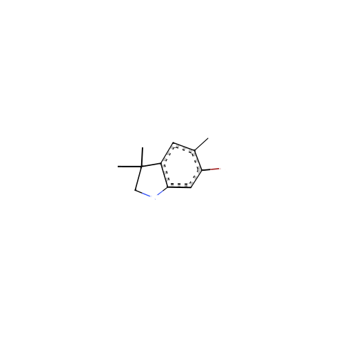 Cc1cc2c(cc1Br)NCC2(C)C